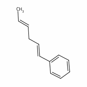 C/C=C/C/C=C/c1ccccc1